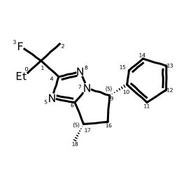 CCC(C)(F)c1nc2n(n1)[C@H](c1ccccc1)C[C@@H]2C